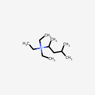 CC[N+](CC)(CC)C(C)CC(C)C